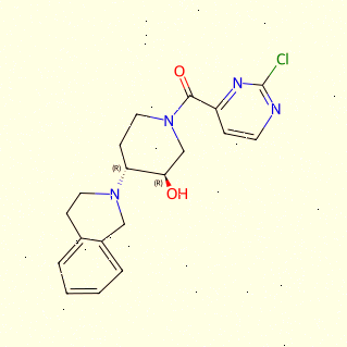 O=C(c1ccnc(Cl)n1)N1CC[C@@H](N2CCc3ccccc3C2)[C@H](O)C1